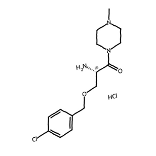 CN1CCN(C(=O)[C@@H](N)COCc2ccc(Cl)cc2)CC1.Cl